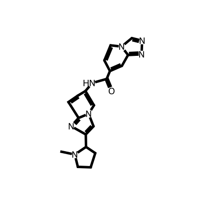 CN1CCCC1c1cn2cc(NC(=O)c3ccn4cnnc4c3)ccc2n1